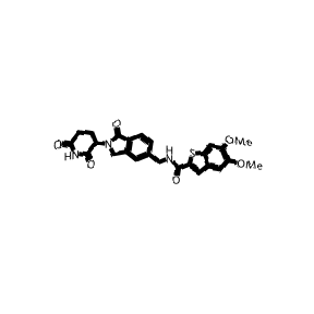 COc1cc2cc(C(=O)NCc3ccc4c(c3)CN(C3CCC(=O)NC3=O)C4=O)sc2cc1OC